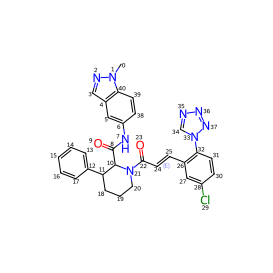 Cn1ncc2cc(NC(=O)C3C(c4ccccc4)CCCN3C(=O)/C=C/c3cc(Cl)ccc3-n3cnnn3)ccc21